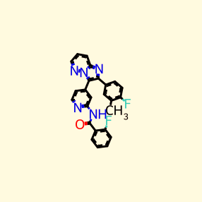 Cc1cc(-c2nc3cccnn3c2-c2ccnc(NC(=O)c3ccccc3F)c2)ccc1F